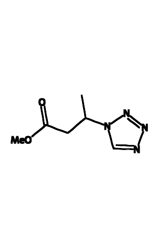 COC(=O)CC(C)n1cnnn1